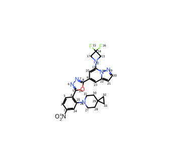 O=[N+]([O-])c1ccc(-c2nnc(-c3cc(N4CC(F)(F)C4)n4nccc4c3)o2)c(N2CCC3(CC2)CC3)c1